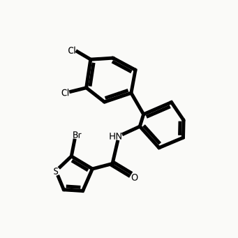 O=C(Nc1ccccc1-c1ccc(Cl)c(Cl)c1)c1ccsc1Br